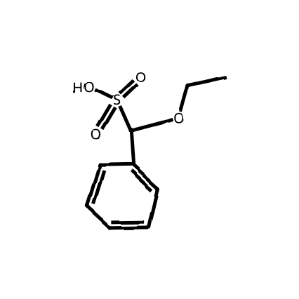 CCOC(c1ccccc1)S(=O)(=O)O